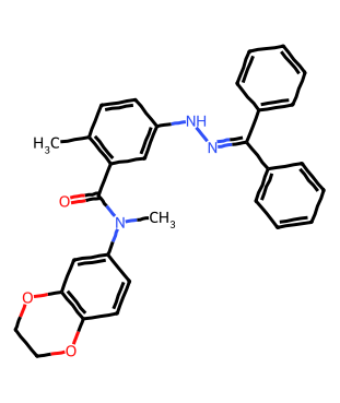 Cc1ccc(NN=C(c2ccccc2)c2ccccc2)cc1C(=O)N(C)c1ccc2c(c1)OCCO2